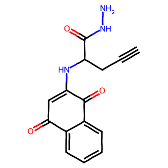 C#CCC(NC1=CC(=O)c2ccccc2C1=O)C(=O)NN